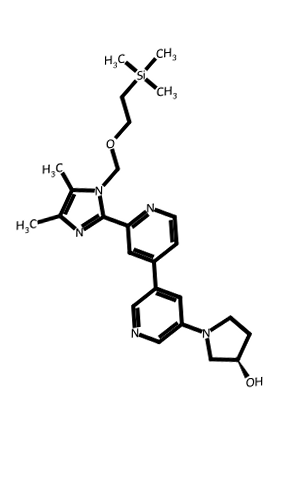 Cc1nc(-c2cc(-c3cncc(N4CC[C@@H](O)C4)c3)ccn2)n(COCC[Si](C)(C)C)c1C